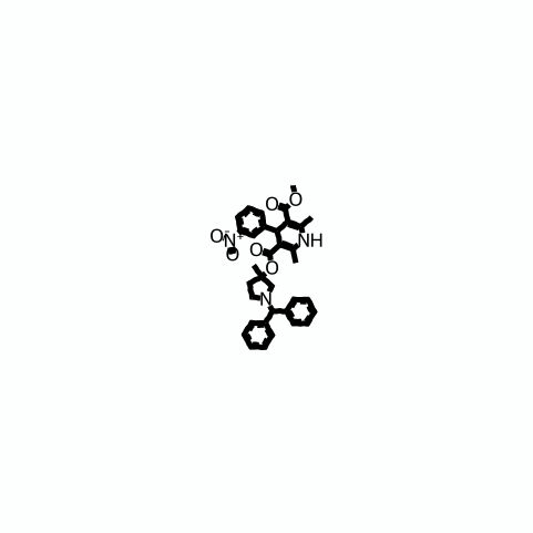 COC(=O)C1=C(C)NC(C)=C(C(=O)OC2(C)CCN(C(c3ccccc3)c3ccccc3)C2)C1c1cccc([N+](=O)[O-])c1